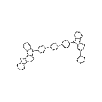 c1ccc(-c2ccc3c4ccccc4n(-c4ccc(-c5ccc(-c6ccc(-n7c8ccccc8c8c9oc%10ccccc%10c9ccc87)cc6)cc5)cc4)c3c2)cc1